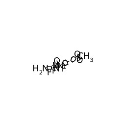 CS(=O)(=O)c1ccc(-c2ccc(-n3cnn(CC(CN)=C(F)F)c3=O)c(F)c2)cc1